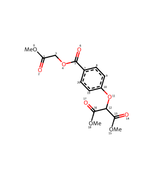 COC(=O)COC(=O)c1ccc(OC(C(=O)OC)C(=O)OC)cc1